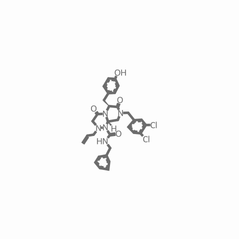 C=CCN1CC(=O)N2[C@@H](Cc3ccc(O)cc3)C(=O)N(Cc3ccc(Cl)c(Cl)c3)C[C@@H]2N1C(=O)NCc1ccccc1